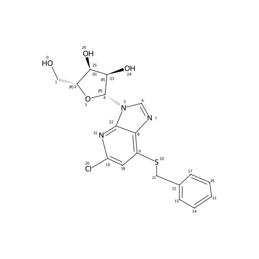 OC[C@H]1O[C@@H](n2cnc3c(SCc4ccccc4)cc(Cl)nc32)[C@H](O)[C@@H]1O